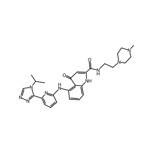 CC(C)n1cnnc1-c1cccc(Nc2cccc3[nH]c(C(=O)NCCN4CCN(C)CC4)cc(=O)c23)n1